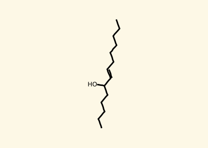 CCCCCCC=CC(O)CCCCC